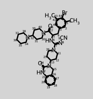 Cc1cc(CC(NC(=NC#N)N2CCC(N3Cc4ccccc4NC3=O)CC2)C(=O)N2CCC(N3CCCCC3)CC2)cc(C)c1Br